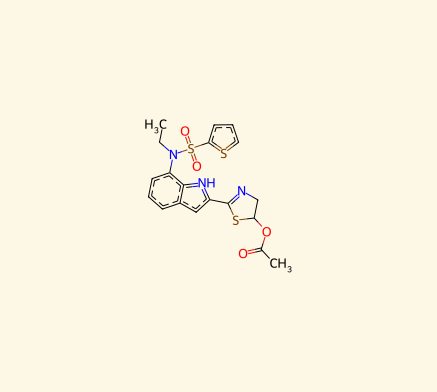 CCN(c1cccc2cc(C3=NCC(OC(C)=O)S3)[nH]c12)S(=O)(=O)c1cccs1